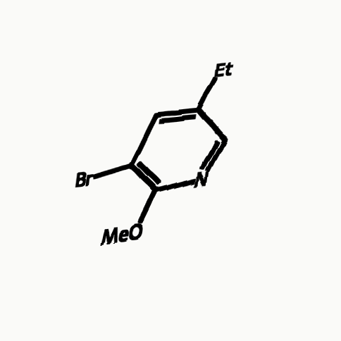 CCc1cnc(OC)c(Br)c1